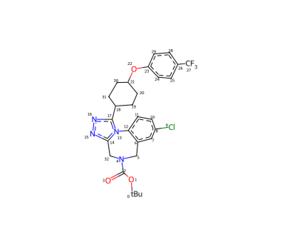 CC(C)(C)OC(=O)N1Cc2cc(Cl)ccc2-n2c(nnc2C2CCC(Oc3ccc(C(F)(F)F)cc3)CC2)C1